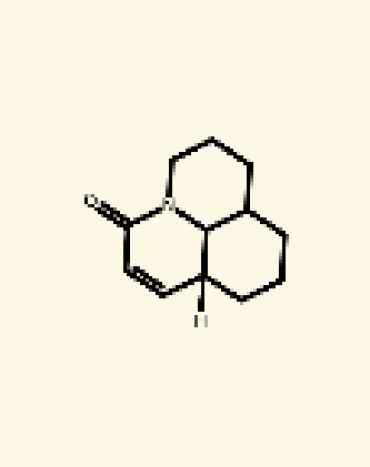 O=C1C=C[C@H]2CCCC3CCCN1C32